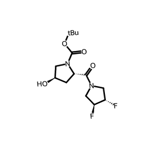 CC(C)(C)OC(=O)N1C[C@H](O)C[C@H]1C(=O)N1C[C@H](F)[C@@H](F)C1